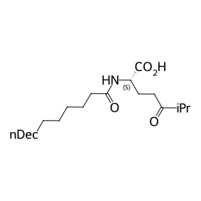 CCCCCCCCCCCCCCCC(=O)N[C@@H](CCC(=O)C(C)C)C(=O)O